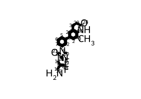 Cc1cc(-c2cccc(-n3cnn(CC(CN)=C(F)F)c3=O)c2)cc2c1NC(=O)CC2